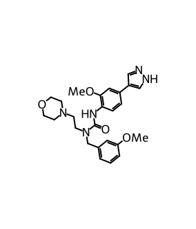 COc1cccc(CN(CCN2CCOCC2)C(=O)Nc2ccc(-c3cn[nH]c3)cc2OC)c1